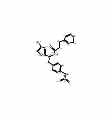 CCc1csc([C@H](Cc2ccc(N[SH](=O)=O)cc2)NC(=O)CCC2=CCCC=C2)n1